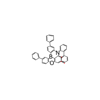 Cc1cc2c3c(c1)N(c1ccccc1-c1ccccc1)c1cc(-c4ccccc4)ccc1B3c1cc(-c3ccccc3)ccc1O2